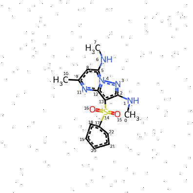 CNc1nn2c(NC)cc(C)nc2c1S(=O)(=O)c1ccccc1